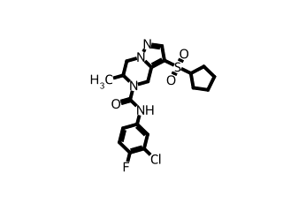 CC1Cn2ncc(S(=O)(=O)C3CCCC3)c2CN1C(=O)Nc1ccc(F)c(Cl)c1